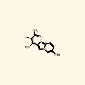 C[C@@H](C(N)=O)[C@H](N)c1cn2cc(C(C)(C)C)ccc2n1